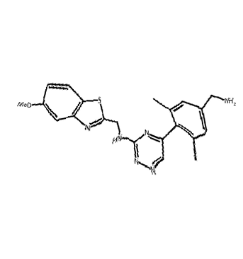 COc1ccc2sc(CNc3nncc(-c4c(C)cc(CN)cc4C)n3)nc2c1